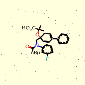 CCCCC(=O)N(CC1(OC(C)(C)C(=O)O)C=CC(c2ccccc2)=CC1)c1cccc(F)c1